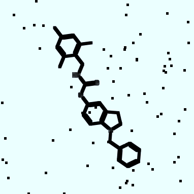 Cc1cc(C)c(CNC(=O)Oc2ccc3c(c2)CCN3Cc2ccccc2)c(C)c1